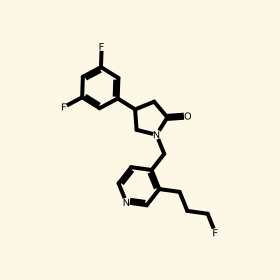 O=C1CC(c2cc(F)cc(F)c2)CN1Cc1ccncc1CCCF